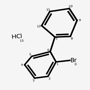 Brc1ccccc1-c1ccccc1.Cl